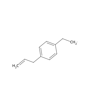 [CH2]Cc1ccc(CC=C)cc1